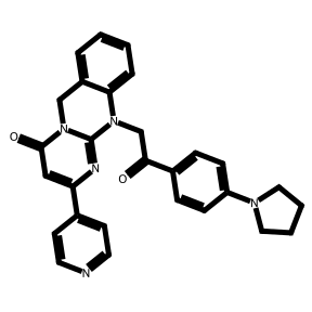 O=C(CN1c2ccccc2Cn2c1nc(-c1ccncc1)cc2=O)c1ccc(N2CCCC2)cc1